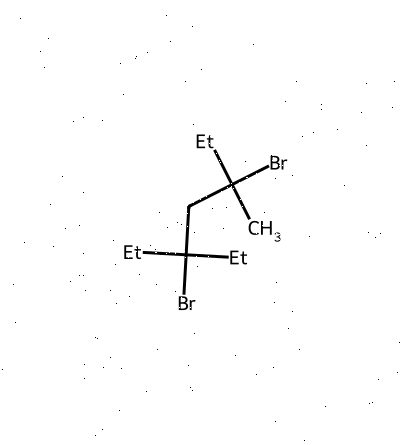 CCC(C)(Br)CC(Br)(CC)CC